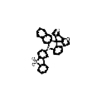 O=S1(=O)c2ccccc2-c2cc(N3c4ccccc4C4(c5cc6ccccc6cc53)c3ccoc3-c3occc34)ccc21